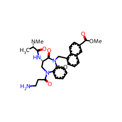 CN[C@@H](C)C(=O)N[C@H]1CN(C(=O)CCN)c2ccccc2N(Cc2c(OC)ccc3cc(C(=O)OC)ccc23)C1=O